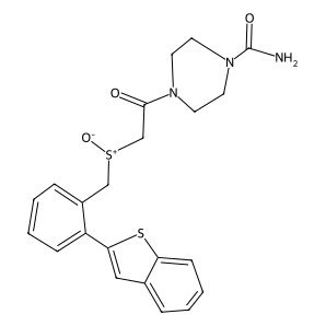 NC(=O)N1CCN(C(=O)C[S+]([O-])Cc2ccccc2-c2cc3ccccc3s2)CC1